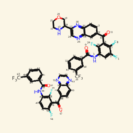 O=C(Nc1cc(F)c(F)c(C(=O)c2ccc3nc(C4COCCN4)cnc3c2)c1F)c1cccc(C(F)(F)F)c1.O=C(Nc1ccc(F)c(C(=O)c2ccc3nccnc3c2)c1F)c1cccc(C(F)(F)F)c1